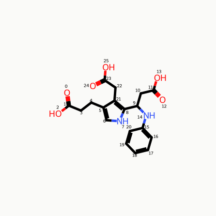 O=C(O)CCc1c[nH]c(C(CC(=O)O)Nc2ccccc2)c1CC(=O)O